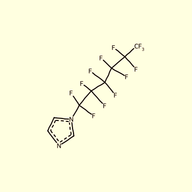 FC(F)(F)C(F)(F)C(F)(F)C(F)(F)C(F)(F)C(F)(F)n1ccnc1